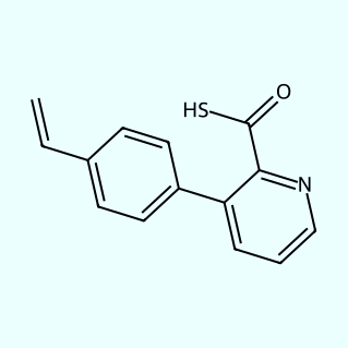 C=Cc1ccc(-c2cccnc2C(=O)S)cc1